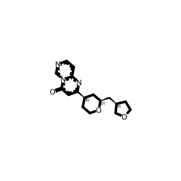 O=c1cc([C@@H]2CCO[C@H](C[C@H]3CCOC3)C2)nc2ccncn12